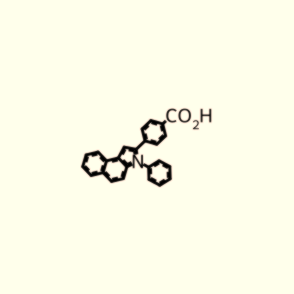 O=C(O)c1ccc(-c2cc3c4ccccc4ccc3n2-c2ccccc2)cc1